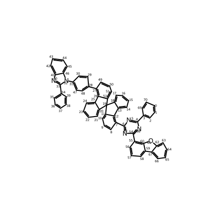 c1ccc(-c2nc(-c3cccc4c3-c3ccccc3C43c4ccccc4-c4c(-c5ccc(-n6c(-c7ccccc7)nc7ccccc76)cc5)cccc43)nc(-c3cccc4c3oc3ccccc34)n2)cc1